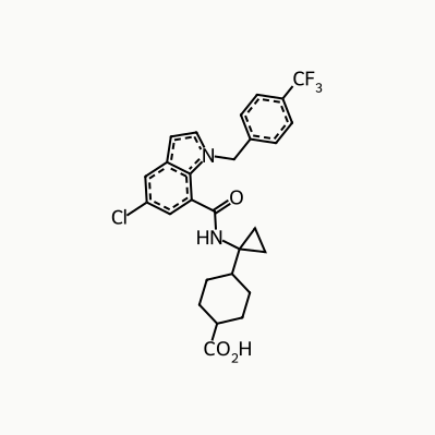 O=C(NC1(C2CCC(C(=O)O)CC2)CC1)c1cc(Cl)cc2ccn(Cc3ccc(C(F)(F)F)cc3)c12